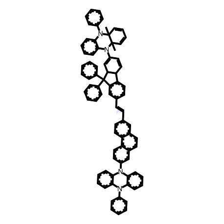 CC12C=CC=CC1(C)N(c1ccccc1)c1ccccc1N2C1=CC2C(C=C1)c1ccc(/C=C/c3ccc4c(ccc5cc(N6c7ccccc7N(c7ccccc7)c7ccccc76)ccc54)c3)cc1C2(c1ccccc1)c1ccccc1